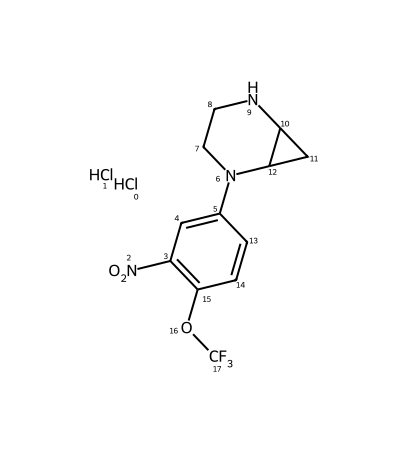 Cl.Cl.O=[N+]([O-])c1cc(N2CCNC3CC32)ccc1OC(F)(F)F